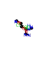 Cc1c(COc2cc(OCc3cncc(C#N)c3)c(CNCc3cccnc3Cl)cc2Cl)cccc1-c1cccc(OCC2CCCN(C)C2)c1Cl